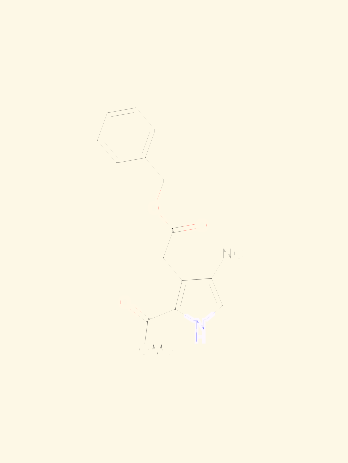 COC(=O)c1[nH]cc([N+](=O)[O-])c1CC(=O)OCc1ccccc1